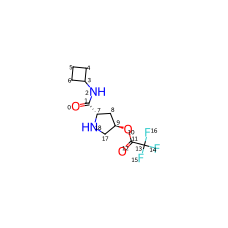 O=C(NC1CCC1)[C@@H]1C[C@@H](OC(=O)C(F)(F)F)CN1